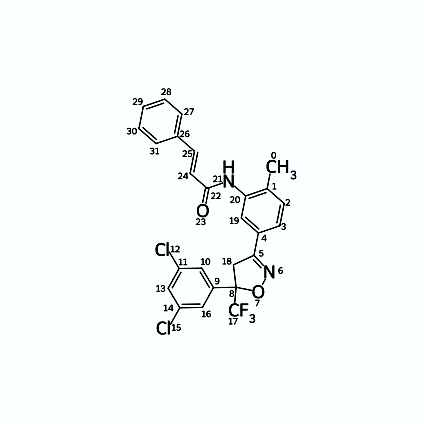 Cc1ccc(C2=NOC(c3cc(Cl)cc(Cl)c3)(C(F)(F)F)C2)cc1NC(=O)/C=C/c1ccccc1